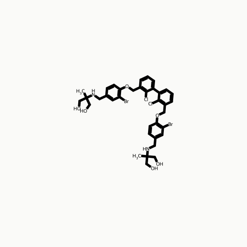 CC(CO)(CO)NCc1ccc(OCc2cccc(-c3cccc(COc4ccc(CNC(C)(CO)CO)cc4Br)c3Cl)c2Cl)c(Br)c1